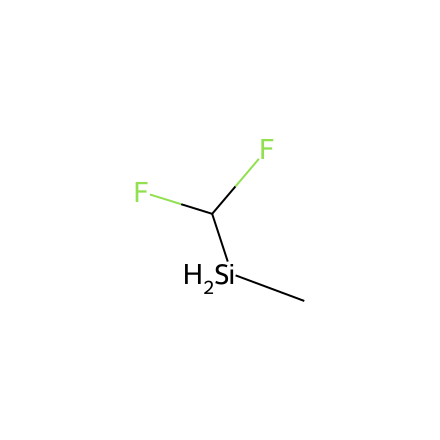 C[SiH2]C(F)F